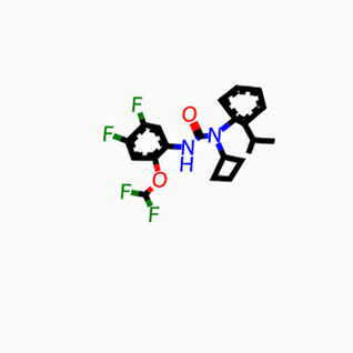 CC(C)c1ccccc1N(C(=O)Nc1cc(F)c(F)cc1OC(F)F)C1CCC1